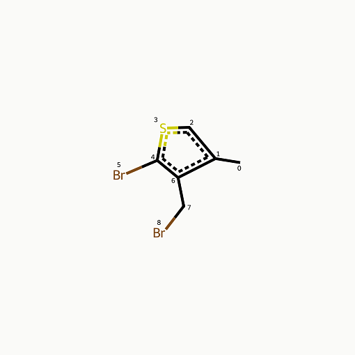 Cc1csc(Br)c1CBr